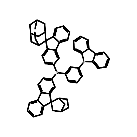 c1cc(N(c2ccc3c(c2)-c2ccccc2C32C3CCC4CC(C3)CC2C4)c2ccc3c(c2)C2(CC4CCC2C4)c2ccccc2-3)cc(-n2c3ccccc3c3ccccc32)c1